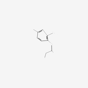 CC(CO)Nc1ccc(O)cc1[N+](=O)[O-]